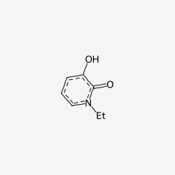 CCn1cccc(O)c1=O